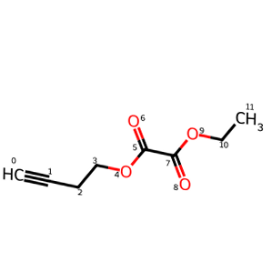 C#CCCOC(=O)C(=O)OCC